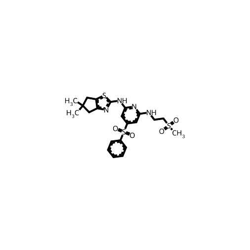 CC1(C)Cc2nc(Nc3cc(S(=O)(=O)c4ccccc4)cc(NCCS(C)(=O)=O)n3)sc2C1